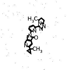 C[C@H]1CCc2nnc(-c3cccc(N4Cc5cnc(C6(C)CC6)cc5C4=O)n3)n21